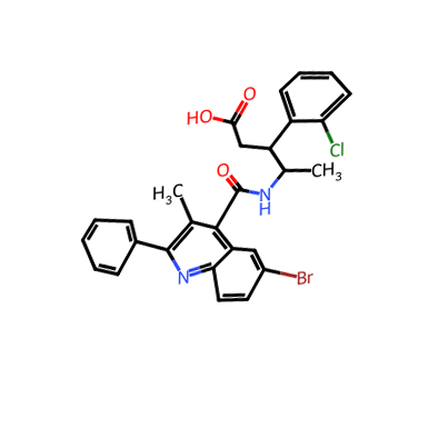 Cc1c(-c2ccccc2)nc2ccc(Br)cc2c1C(=O)NC(C)C(CC(=O)O)c1ccccc1Cl